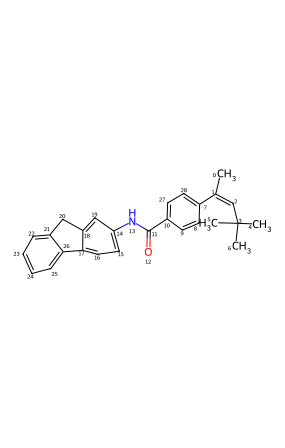 C/C(=C/C(C)(C)C)c1ccc(C(=O)Nc2ccc3c(c2)Cc2ccccc2-3)cc1